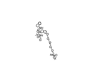 COCC(=O)N[C@H](C(=O)N1Cc2cc(OCCOCCOCCOCCOCCNC(=O)OC(C)(C)C)ccc2C[C@H]1C(=O)N[C@@H]1CCCc2ccccc21)C(C)(C)C